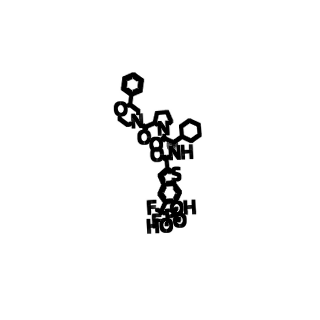 O=C(N[C@H](C(=O)N1CCCC1C(=O)N1CCOC(c2ccccc2)C1)C1CCCCC1)c1cc2cc(C(F)(F)P(=O)(O)O)ccc2s1